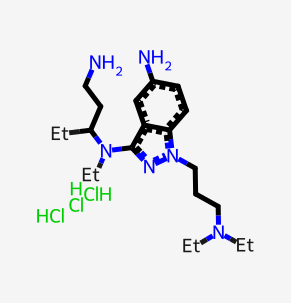 CCC(CCN)N(CC)c1nn(CCCN(CC)CC)c2ccc(N)cc12.Cl.Cl.Cl